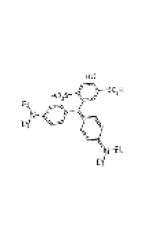 CCN(CC)c1ccc(C(=C2C=CC(=[N+](CC)CC)C=C2)c2cc(S(=O)(=O)O)ccc2S(=O)(=O)O)cc1.[OH-]